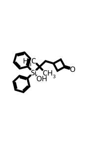 CC(C)(CC1CC(=O)C1)[Si](O)(c1ccccc1)c1ccccc1